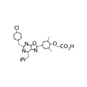 Cc1cc(-c2nc3c(CC(C)C)nc(Cc4ccc(Cl)cc4)nc3o2)cc(C)c1OCC(=O)O